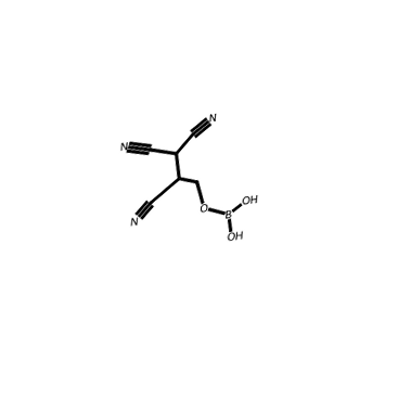 N#CC(C#N)C(C#N)COB(O)O